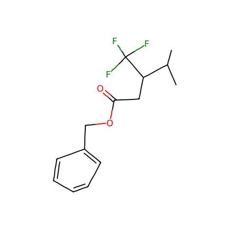 CC(C)C(CC(=O)OCc1ccccc1)C(F)(F)F